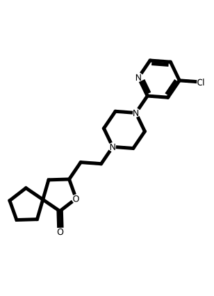 O=C1OC(CCN2CCN(c3cc(Cl)ccn3)CC2)CC12CCCC2